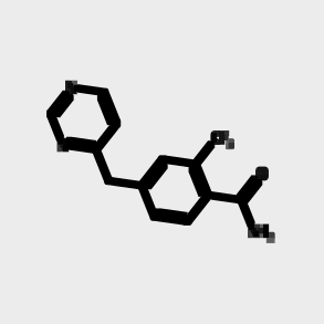 NC(=O)c1ccc(Cc2ccncn2)cc1C(F)(F)F